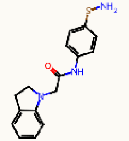 NSc1ccc(NC(=O)CN2CCc3ccccc32)cc1